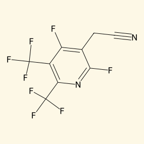 N#CCc1c(F)nc(C(F)(F)F)c(C(F)(F)F)c1F